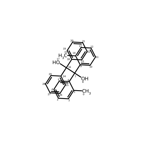 Cc1ccccc1C(O)(c1ccccc1C)C(O)(c1ccccc1)c1ccccc1